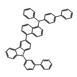 c1ccc(-c2ccc(N(c3ccccc3)c3cccc4c(-c5ccc6c(c5)c5ccccc5n6-c5cccc(-c6ccccc6)c5)cccc34)cc2)cc1